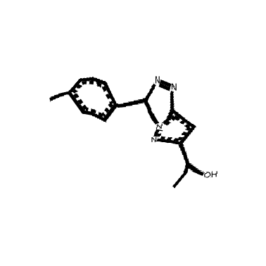 Cc1ccc(C2N=Nc3cc(C(C)O)nn32)cc1